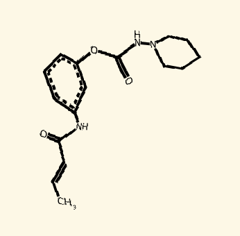 C/C=C/C(=O)Nc1cccc(OC(=O)NN2CCCCC2)c1